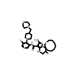 Nc1nn2c(c1C(=O)Nc1cncc(F)c1N1CCC(CN3CCOCC3)CC1)NCC(F)C21CCCCCCCCC1